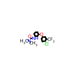 CN(C)C(=O)Nc1cccc(Oc2ccc(Cl)c(C(F)(F)F)c2)c1